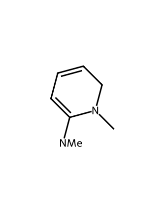 CNC1=CC=CCN1C